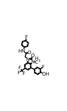 Cn1c(=O)n(CC(=O)Nc2ccc(F)cc2)c2cc(C(F)(F)F)cc(-c3ccc(O)c(F)c3)c21